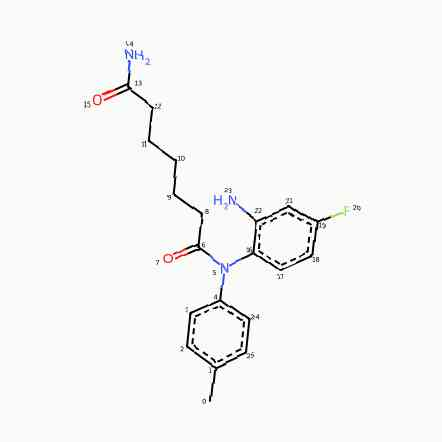 Cc1ccc(N(C(=O)CCCCCC(N)=O)c2ccc(F)cc2N)cc1